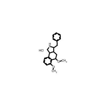 COc1cccc2c1C(OC)CC1C(Cc3ccccc3)NCC21.Cl